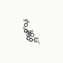 CC(=N)N1CCC(Oc2ccc(N(Cc3ccc4ccc(C(=N)N)cc4c3)S(=O)(=O)C3(C(=O)O)CCCCC3)cc2)CC1